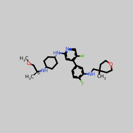 COC[C@H](C)N[C@H]1CC[C@H](Nc2cc(-c3ccc(F)c(NCC4(C)CCOCC4)c3)c(F)cn2)CC1